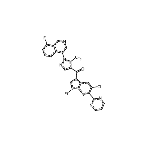 CCn1cc(C(=O)c2cnn(-c3cncc4c(F)cccc34)c2C(F)(F)F)c2cc(Cl)c(-c3ncccn3)nc21